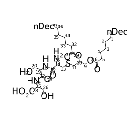 CCCCCCCCCCCCCCCC(=O)OCC(CSCC(N)C(=O)NC(CO)C(=O)NC(CO)C(=O)O)OC(=O)CCCCCCCCCCCCCCC